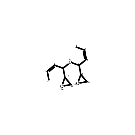 C/C=C\C(OC(/C=C\C)C1CO1)C1CO1